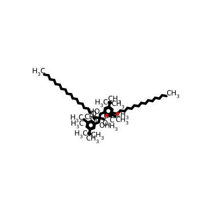 CCCCCCCCCCCCCCCCCCOC(=O)C(C(=O)OCCCCCCCCCCCCCCCCCC)(C(O)c1cc(C(C)(C)C)cc(C(C)(C)C)c1)C(O)c1cc(C(C)(C)C)cc(C(C)(C)C)c1